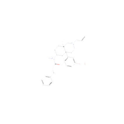 C=CCN1CCC2(c3cccc(O)c3)CC(N(C)C(=O)OCc3ccccc3)CCC2(OC)C1